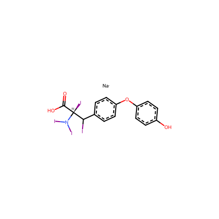 O=C(O)[C@](I)(C(I)c1ccc(Oc2ccc(O)cc2)cc1)N(I)I.[Na]